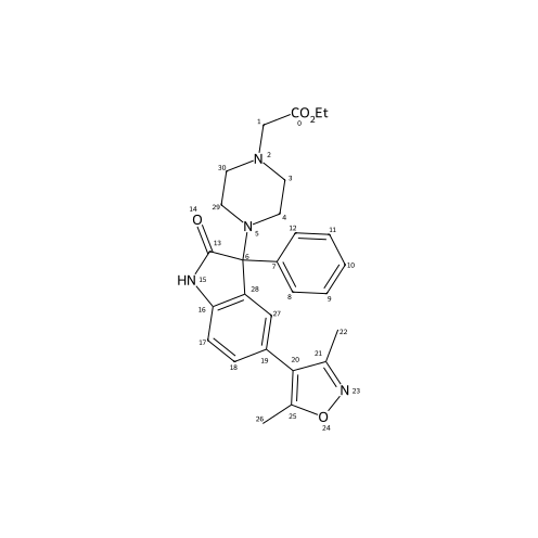 CCOC(=O)CN1CCN(C2(c3ccccc3)C(=O)Nc3ccc(-c4c(C)noc4C)cc32)CC1